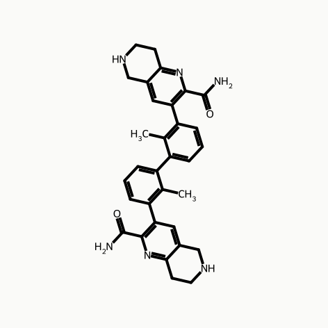 Cc1c(-c2cc3c(nc2C(N)=O)CCNC3)cccc1-c1cccc(-c2cc3c(nc2C(N)=O)CCNC3)c1C